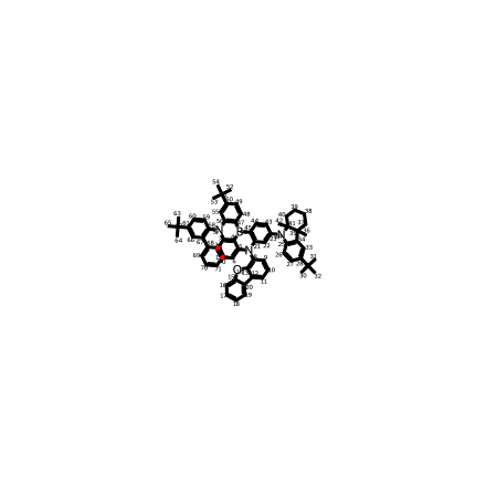 Cc1cc2c3c(c1)N(c1cccc4c1oc1ccccc14)c1cc(N4c5ccc(C(C)(C)C)cc5C5(C)CCCCC45C)ccc1B3c1ccc(C(C)(C)C)cc1N2c1ccc(C(C)(C)C)cc1-c1ccccc1